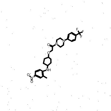 Cc1cc([N+](=O)[O-])ccc1NC1CCC(OCC(=O)N2CCN(c3ccc(C(F)(F)F)cc3)CC2)CC1